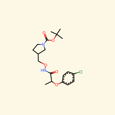 CC(Oc1ccc(Cl)cc1)C(=O)NOCC1CCN(C(=O)OC(C)(C)C)C1